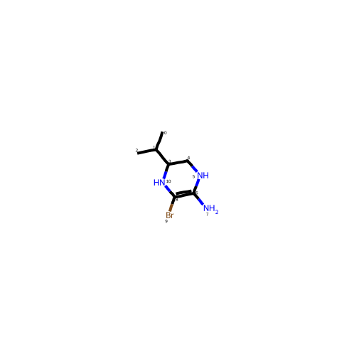 CC(C)C1CNC(N)=C(Br)N1